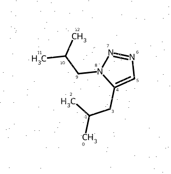 CC(C)Cc1cnnn1CC(C)C